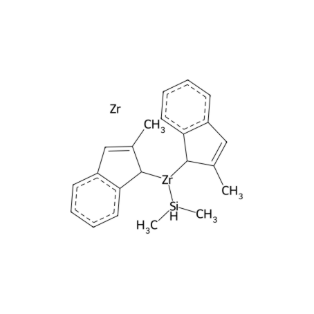 CC1=Cc2ccccc2[CH]1[Zr]([CH]1C(C)=Cc2ccccc21)[SiH](C)C.[Zr]